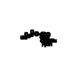 CC(C)(C)C(=O)OCOC(=O)c1ccc(-c2cn(Cc3ccccc3)c(=O)n2Cc2ccc(C(F)(F)P(=O)(O)OCOC(=O)C(C)(C)C)c(Br)c2)cc1